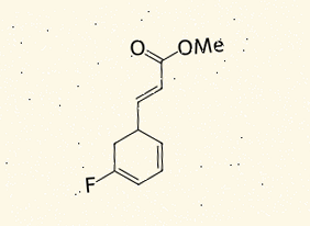 COC(=O)C=CC1C=CC=C(F)C1